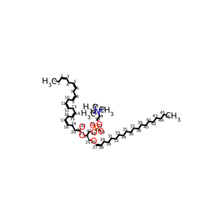 CC/C=C\C/C=C\C/C=C\C/C=C\C/C=C\C/C=C\CCC(=O)O[C@H](CO/C=C\CCCCCCCCCCCCCCCCCC)COP(=O)([O-])OCC[N+](C)(C)C